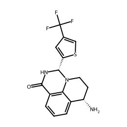 N[C@H]1CCN2c3c(cccc31)C(=O)N[C@@H]2c1cc(C(F)(F)F)cs1